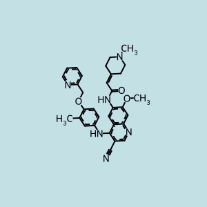 COc1cc2ncc(C#N)c(Nc3ccc(OCc4ccccn4)c(C)c3)c2cc1NC(=O)C=C1CCN(C)CC1